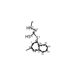 CN/N=C(\S)Sc1cc(C)nc2ccccc12